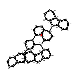 c1ccc(-c2ccc(-c3ccc4ccccc4c3)cc2N(c2ccc(-n3c4ccccc4c4ccccc43)cc2)c2cccc3sc4ccccc4c23)cc1